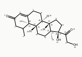 CC1CC(=O)C=C2CC[C@H]3[C@@H]4CC[C@](O)(C(=O)CO)[C@@]4(C)CC[C@@H]3[C@]21C